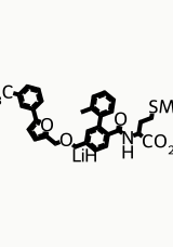 CSCCC(NC(=O)c1ccc(COCc2ccc(-c3cccc(C(F)(F)F)c3)o2)cc1-c1ccccc1C)C(=O)O.[LiH]